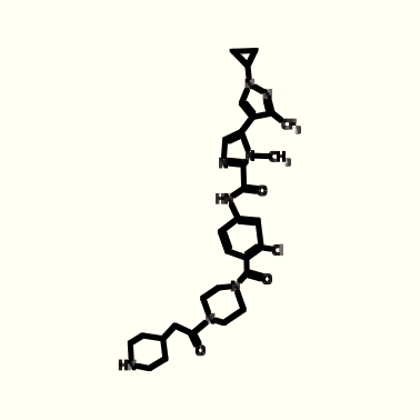 Cn1c(-c2cn(C3CC3)nc2C(F)(F)F)cnc1C(=O)Nc1ccc(C(=O)N2CCN(C(=O)CC3CCNCC3)CC2)c(Cl)c1